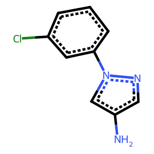 Nc1cnn(-c2cccc(Cl)c2)c1